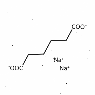 O=C([O-])CCCCC(=O)[O-].[Na+].[Na+]